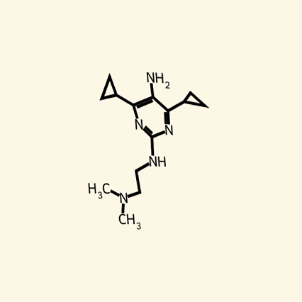 CN(C)CCNc1nc(C2CC2)c(N)c(C2CC2)n1